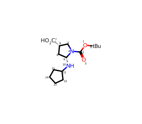 CC(C)(C)OC(=O)N1C[C@@H](C(=O)O)C[C@H]1NC1CCCC1